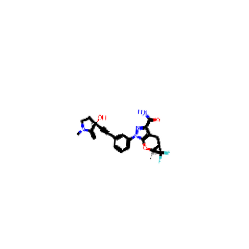 C=C1N(C)CC[C@@]1(O)C#Cc1cccc(-n2nc(C(N)=O)c3c2O[C@@]2(C)C(C3)C2(F)F)c1